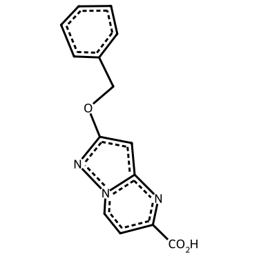 O=C(O)c1ccn2nc(OCc3ccccc3)cc2n1